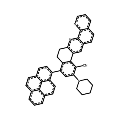 N#Cc1c(N2CCCCC2)cc(-c2ccc3ccc4cccc5ccc2c3c45)c2c1-c1cc3ccc4cccnc4c3nc1CC2